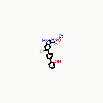 CCONC(=O)c1c[nH]c2cc(Cl)c(-c3ccc(-c4ccccc4O)cc3)cc12